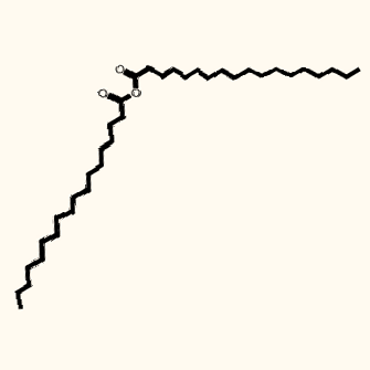 CCCCCCCCCCCCCCCCCC(=O)OC(=O)CCCCCCCCCCCCCCCCC